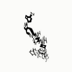 CC(C)(C)[Si](C)(C)OC1CC(Nc2cc(Nc3cc4c(cn3)cnn4-c3ccc(C#N)c4c3CC4)ncn2)C1